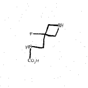 O=C(O)NCC1(F)CNC1